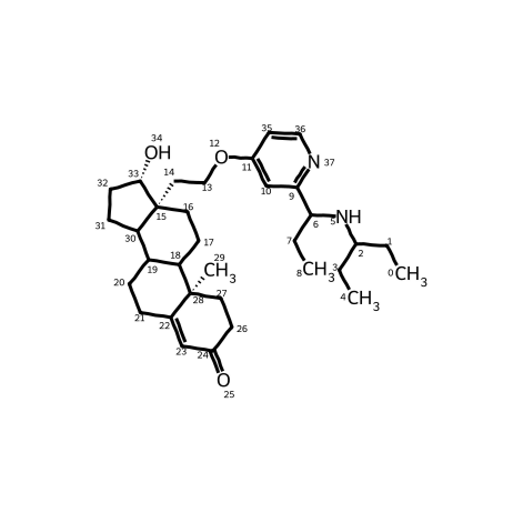 CCC(CC)NC(CC)c1cc(OCC[C@]23CCC4C(CCC5=CC(=O)CC[C@@]54C)C2CC[C@@H]3O)ccn1